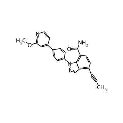 CC#Cc1ccc(C(N)=O)c2c1cnn2-c1ccc(-c2ccnc(OC)c2)cc1